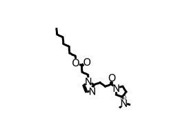 CCCCCCCOC(=O)CCn1ccnc1CCC(=O)N1CC[C@H](N(C)C)C1